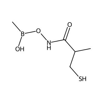 CB(O)ONC(=O)C(C)CS